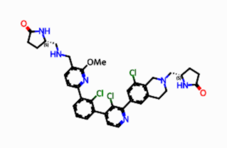 COc1nc(-c2cccc(-c3ccnc(-c4cc(Cl)c5c(c4)CCN(C[C@@H]4CCC(=O)N4)C5)c3Cl)c2Cl)ccc1CNC[C@@H]1CCC(=O)N1